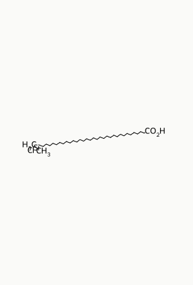 C[Si](C)(Cl)CCCCCCCCCCCCCCCCCCCCCCCCCCCCCCCCC(=O)O